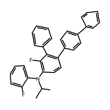 CC(C)N(c1ccccc1F)c1ccc(-c2ccc(-c3ccccc3)cc2)c(-c2ccccc2)c1F